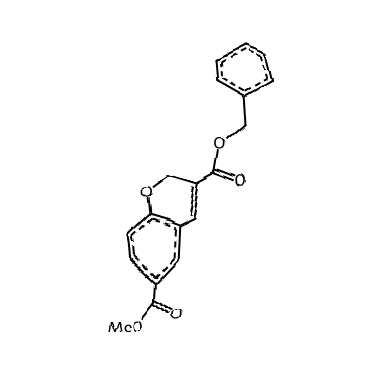 COC(=O)c1ccc2c(c1)C=C(C(=O)OCc1ccccc1)CO2